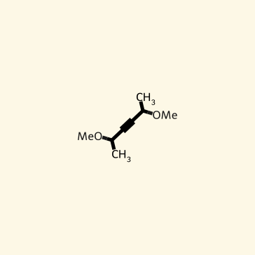 COC(C)C#CC(C)OC